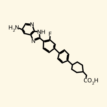 Nc1cnc2[nH]c(-c3ccc(-c4ccc(C5CCC(CC(=O)O)CC5)cc4)cc3F)nc2c1